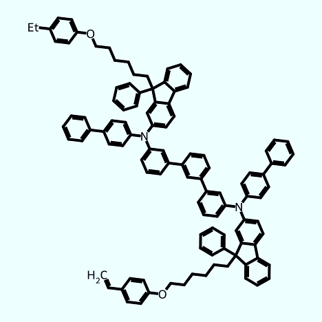 C=Cc1ccc(OCCCCCCC2(c3ccccc3)c3ccccc3-c3ccc(N(c4ccc(-c5ccccc5)cc4)c4cccc(-c5cccc(-c6cccc(N(c7ccc(-c8ccccc8)cc7)c7ccc8c(c7)C(CCCCCCOc7ccc(CC)cc7)(c7ccccc7)c7ccccc7-8)c6)c5)c4)cc32)cc1